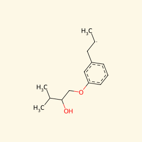 C[CH]Cc1cccc(OCC(O)C(C)C)c1